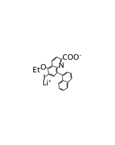 CCOc1c(I)cc(-c2cccc3ccccc23)c2nc(C(=O)[O-])ccc12.[Li+]